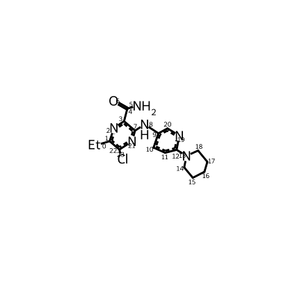 CCc1nc(C(N)=O)c(Nc2ccc(N3CCCCC3)nc2)nc1Cl